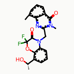 Cc1cccc2c(=O)n(C)c(CN3C(=O)C(F)(F)Oc4c([C@H](C)O)cccc43)nc12